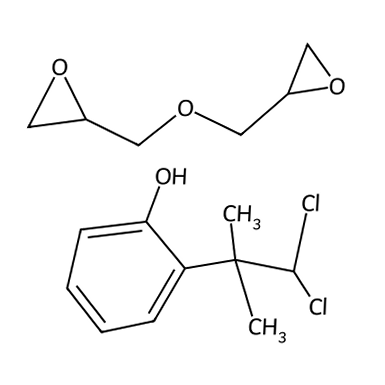 C(OCC1CO1)C1CO1.CC(C)(c1ccccc1O)C(Cl)Cl